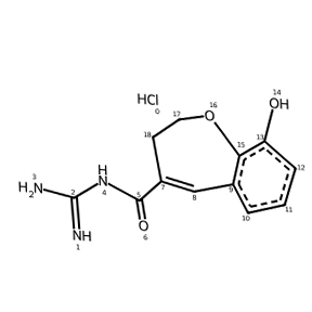 Cl.N=C(N)NC(=O)C1=Cc2cccc(O)c2OCC1